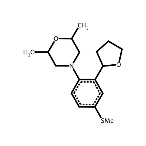 CSc1ccc(N2CC(C)OC(C)C2)c(C2CCCO2)c1